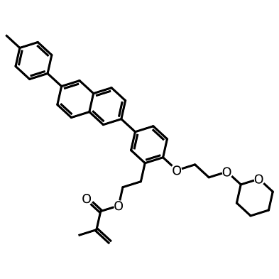 C=C(C)C(=O)OCCc1cc(-c2ccc3cc(-c4ccc(C)cc4)ccc3c2)ccc1OCCOC1CCCCO1